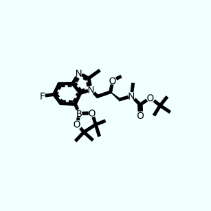 CO[C@@H](CN(C)C(=O)OC(C)(C)C)Cn1c(C)nc2cc(F)cc(B3OC(C)(C)C(C)(C)O3)c21